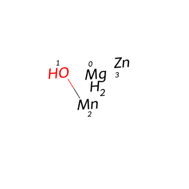 [MgH2].[OH][Mn].[Zn]